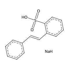 O=S(=O)(O)c1ccccc1C=Cc1ccccc1.[NaH]